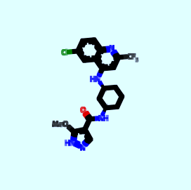 COc1[nH]ncc1C(=O)N[C@@H]1CCC[C@H](Nc2cc(C(F)(F)F)nc3ccc(Cl)cc23)C1